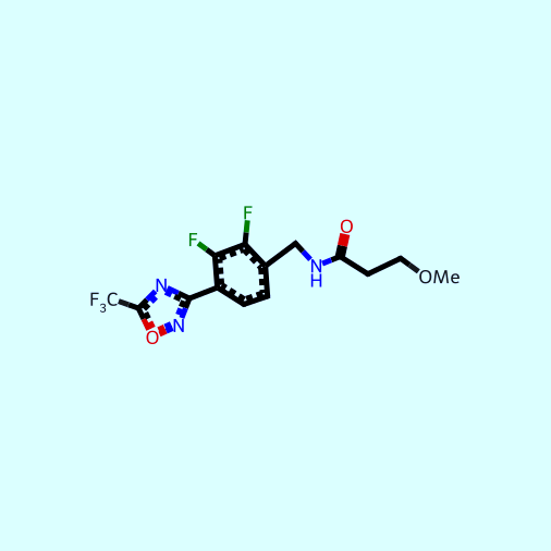 COCCC(=O)NCc1ccc(-c2noc(C(F)(F)F)n2)c(F)c1F